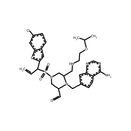 C=CC(c1cc2ccc(Cl)cc2s1)S(=O)(=O)N1CC(C=O)N(Cc2ccc3c(N)ncnc3c2)C(CNCCOC(C)C)C1